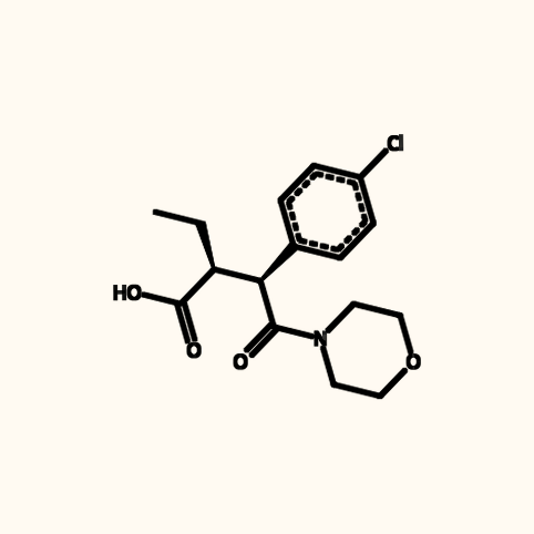 CC[C@H](C(=O)O)[C@H](C(=O)N1CCOCC1)c1ccc(Cl)cc1